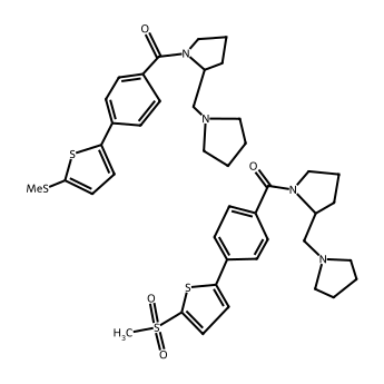 CS(=O)(=O)c1ccc(-c2ccc(C(=O)N3CCCC3CN3CCCC3)cc2)s1.CSc1ccc(-c2ccc(C(=O)N3CCCC3CN3CCCC3)cc2)s1